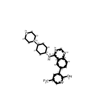 Oc1ncc(C(F)(F)F)cc1-c1ccc2ncnc(N[C@H]3CC[C@H](N4CCOCC4)CC3)c2c1